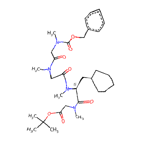 CN(CC(=O)N(C)[C@@H](CC1CCCCC1)C(=O)N(C)CC(=O)OC(C)(C)C)C(=O)CN(C)C(=O)OCc1ccccc1